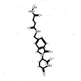 O=C(CCC(=O)NCc1ccc2c(c1)CN(C1CCC(=O)NC1=O)C2=O)NO